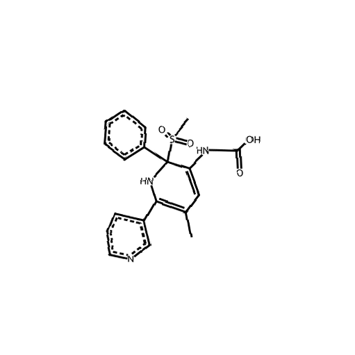 CC1=C(c2cccnc2)NC(c2ccccc2)(S(C)(=O)=O)C(NC(=O)O)=C1